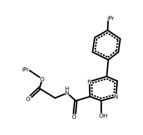 CC(C)OC(=O)CNC(=O)c1nc(-c2ccc(C(C)C)cc2)cnc1O